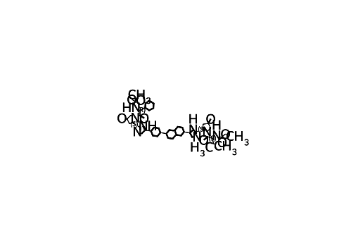 COC(=O)N[C@H](C(=O)N1CC(=O)C[C@H]1c1ncc(-c2ccc3cc(-c4ccc(-c5cnc([C@@H]6CC(=O)CN6C(=O)[C@H](NC(=O)OC)c6ccccc6)[nH]5)cc4)ccc3c2)[nH]1)C(C)C